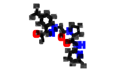 CC(=O)c1nn(CC(=O)N2CCC[C@H]2C(=O)Nc2cccc(C)n2)c2ccc(C(C)C)cc12